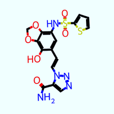 NC(=O)c1cnnn1C=Cc1cc(NS(=O)(=O)c2cccs2)c2c(c1O)OCO2